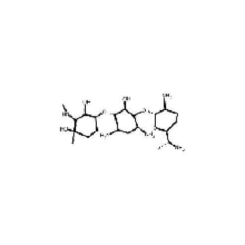 CNC1C(O)[C@@H](O[C@H]2C(N)C[C@H](N)C(O[C@H]3OC([C@@H](C)N)CCC3N)C2O)CC[C@]1(C)O